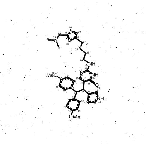 COc1ccc(C(c2ccc(OC)cc2)C(c2c[nH]cn2)c2cnc(NCCSCc3csc(CN(C)C)n3)[nH]c2=O)cc1